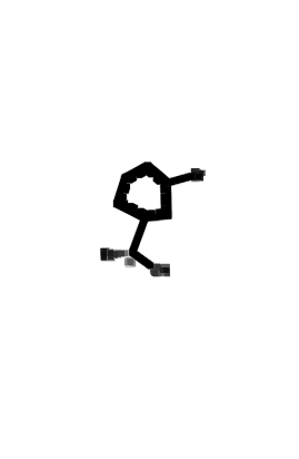 CC[C@@H](O)c1cccc(Br)c1